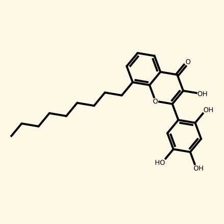 CCCCCCCCCc1cccc2c(=O)c(O)c(-c3cc(O)c(O)cc3O)oc12